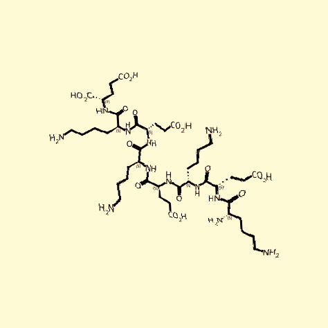 NCCCC[C@H](NC(=O)[C@H](CCC(=O)O)NC(=O)[C@H](CCCCN)NC(=O)[C@H](CCC(=O)O)NC(=O)[C@H](CCCCN)NC(=O)[C@H](CCC(=O)O)NC(=O)[C@@H](N)CCCCN)C(=O)N[C@@H](CCC(=O)O)C(=O)O